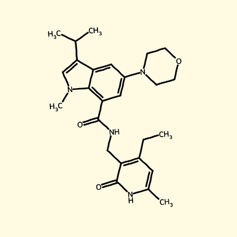 CCc1cc(C)[nH]c(=O)c1CNC(=O)c1cc(N2CCOCC2)cc2c(C(C)C)cn(C)c12